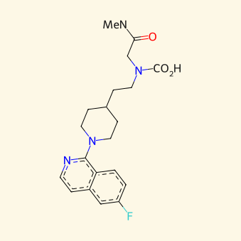 CNC(=O)CN(CCC1CCN(c2nccc3cc(F)ccc23)CC1)C(=O)O